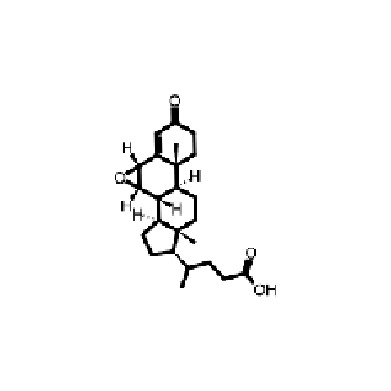 CC(CCC(=O)O)[C@H]1CC[C@H]2[C@@H]3[C@@H]4O[C@@H]4C4=CC(=O)CC[C@]4(C)[C@H]3CC[C@]12C